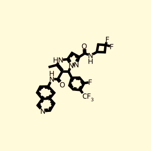 CC1=C(C(=O)Nc2ccc3cnccc3c2)C(c2ccc(C(F)(F)F)c(F)c2)n2nc(C(=O)NC3CC(F)(F)C3)cc2N1